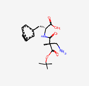 CC(C)(C)OC(=O)C(C)(CN)C(=O)N[C@H](Cc1ccccc1)C(=O)O